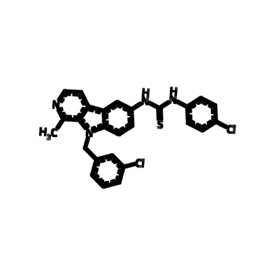 Cc1nccc2c3cc(NC(=S)Nc4ccc(Cl)cc4)ccc3n(Cc3cccc(Cl)c3)c12